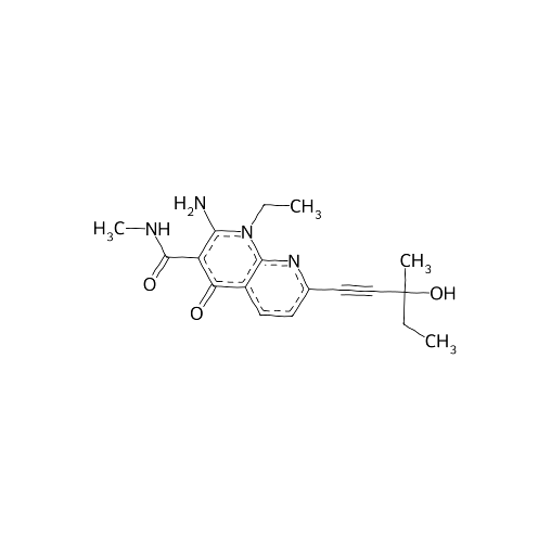 CCn1c(N)c(C(=O)NC)c(=O)c2ccc(C#CC(C)(O)CC)nc21